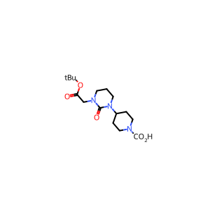 CC(C)(C)OC(=O)CN1CCCN(C2CCN(C(=O)O)CC2)C1=O